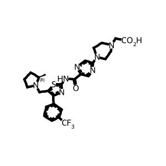 C[C@@H]1CCCN1Cc1sc(NC(=O)c2cnc(N3CCN(CC(=O)O)CC3)cn2)nc1-c1cccc(C(F)(F)F)c1